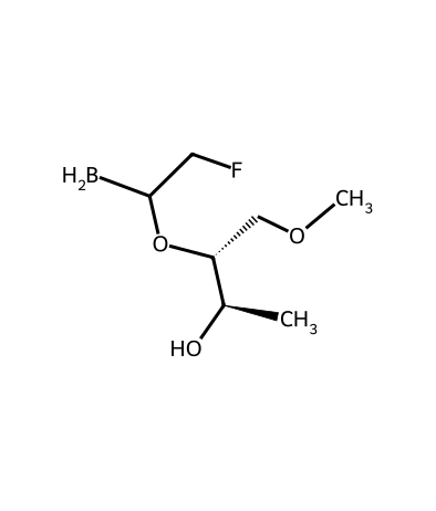 BC(CF)O[C@H](COC)[C@@H](C)O